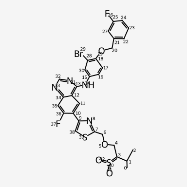 CC(C)C(COCc1nc(-c2cc3c(Nc4ccc(OCc5cccc(F)c5)c(Br)c4)ncnc3cc2F)cs1)=S(=O)=O